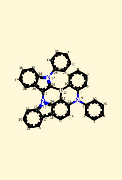 c1ccc(N2c3ccccc3B3c4c2ccc2c5ccccc5n(c42)-c2c3n(-c3ccccc3)c3ccccc23)cc1